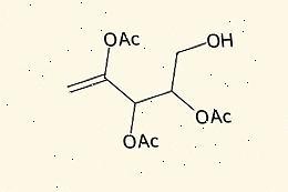 C=C(OC(C)=O)C(OC(C)=O)C(CO)OC(C)=O